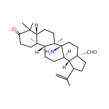 C=C(C)C1CC[C@]2(C=O)CC[C@]3(N)[C@H](CC[C@@H]4[C@@]5(C)CCC(=O)C(C)(C)[C@@H]5CC[C@]43C)[C@@H]12